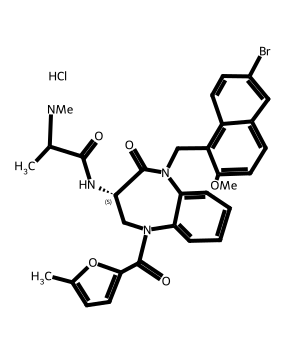 CNC(C)C(=O)N[C@H]1CN(C(=O)c2ccc(C)o2)c2ccccc2N(Cc2c(OC)ccc3cc(Br)ccc23)C1=O.Cl